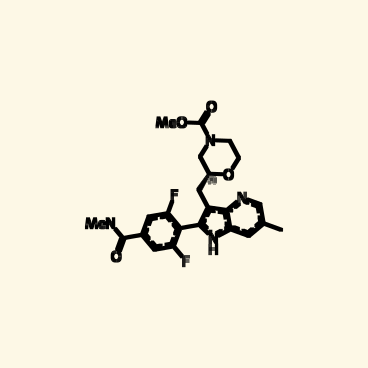 CNC(=O)c1cc(F)c(-c2[nH]c3cc(C)cnc3c2C[C@H]2CN(C(=O)OC)CCO2)c(F)c1